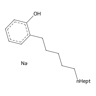 CCCCCCCCCCCCc1ccccc1O.[Na]